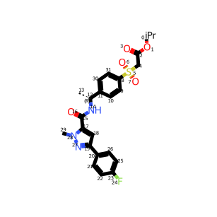 CC(C)OC(=O)CS(=O)(=O)c1ccc([C@@H](C)NC(=O)c2cc(-c3ccc(F)cc3)nn2C)cc1